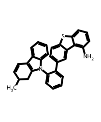 CC1C=Cc2c(n(-c3ccccc3-c3ccc4sc5cccc(N)c5c4c3)c3ccccc23)C1